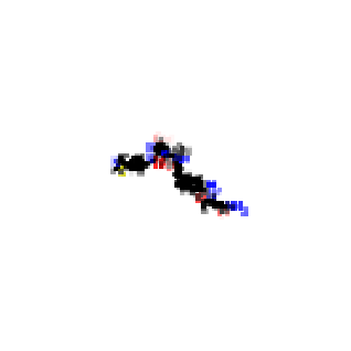 Cc1ncsc1-c1ccc(CNC(=O)[C@H]2C[C@H](O)CN2C(=O)[C@H](NC(=O)CCc2ccc3cc(CO[C@H](C)[C@@H](N)CCC(N)=O)ccc3c2)C(C)(C)C)cc1